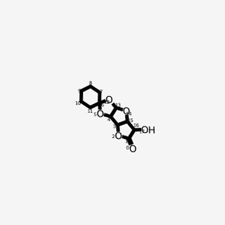 O=C1OC2C3OC4(CCCCC4)OC3OC2C1O